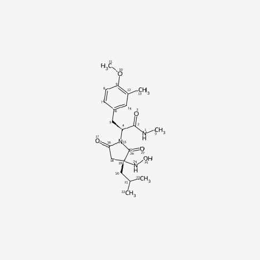 CNC(=O)[C@H](Cc1ccc(OC)c(C)c1)N1C(=O)C[C@@](CC(C)C)(NO)C1=O